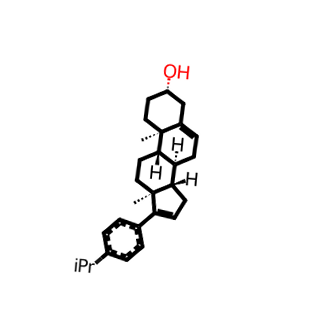 CC(C)c1ccc(C2=CC[C@H]3[C@@H]4CC=C5C[C@@H](O)CC[C@]5(C)[C@H]4CC[C@]23C)cc1